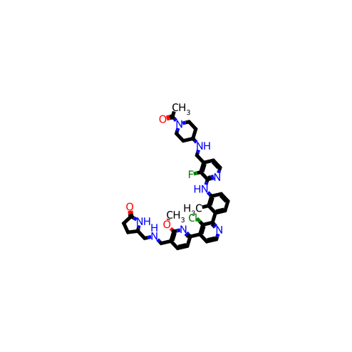 COc1nc(-c2ccnc(-c3cccc(Nc4nccc(CNC5CCN(C(C)=O)CC5)c4F)c3C)c2Cl)ccc1CNCC1CCC(=O)N1